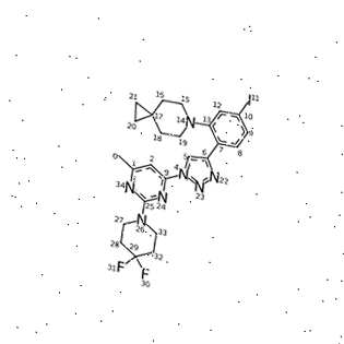 Cc1cc(-n2cc(-c3ccc(I)cc3N3CCC4(CC3)CC4)nn2)nc(N2CCC(F)(F)CC2)n1